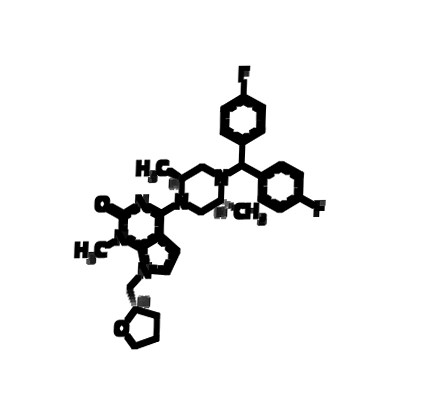 C[C@@H]1CN(c2nc(=O)n(C)c3c2ccn3C[C@@H]2CCCO2)[C@@H](C)CN1C(c1ccc(F)cc1)c1ccc(F)cc1